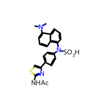 CC(=O)Nc1nc(-c2ccc(N(c3cccc4c(N(C)C)cccc34)S(=O)(=O)O)cc2)cs1